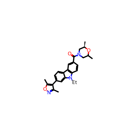 CCn1c2ccc(C(=O)N3CC(C)O[C@H](C)C3)cc2c2ccc(-c3c(C)noc3C)cc21